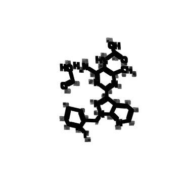 Cc1nc(-c2nn(Cc3ccccc3F)c3ncccc23)nc(N)c1NC(=O)O.O=CO